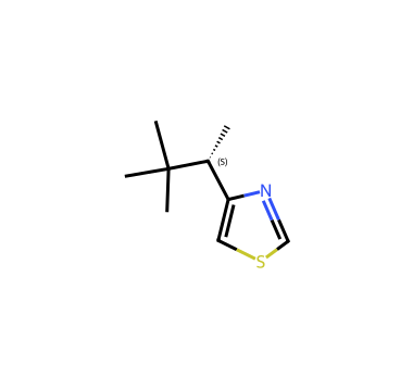 C[C@H](c1cscn1)C(C)(C)C